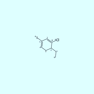 CCC1CC=C(I)C=C1Cl